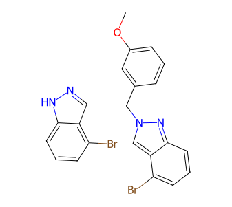 Brc1cccc2[nH]ncc12.COc1cccc(Cn2cc3c(Br)cccc3n2)c1